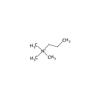 CC[CH][N+](C)(C)C